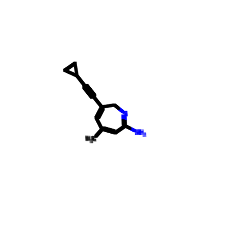 CC1=CC(N)=NCC(C#CC2CC2)=C1